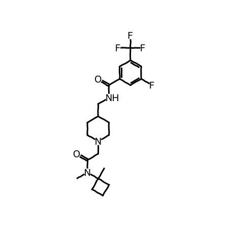 CN(C(=O)CN1CCC(CNC(=O)c2cc(F)cc(C(F)(F)F)c2)CC1)C1(C)CCC1